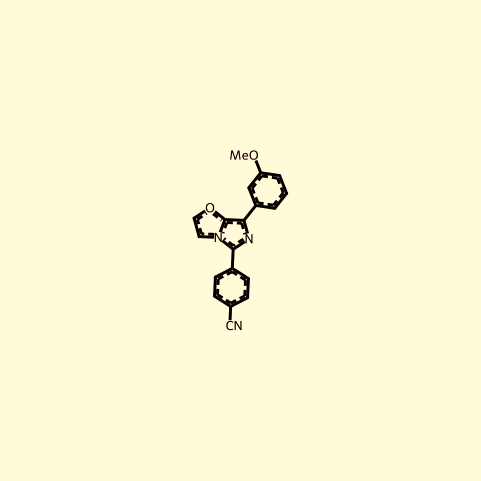 COc1cccc(-c2nc(-c3ccc(C#N)cc3)n3ccoc23)c1